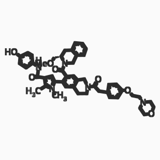 COC[C@@H]1Cc2ccccc2CN1C(=O)c1cc2c(cc1-c1cc(C(=O)Nc3ccc(O)cc3)c(C)n1C)CCN(C(=O)Cc1ccc(OCCN3CCOCC3)cc1)C2